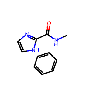 CNC(=O)c1ncc[nH]1.c1ccccc1